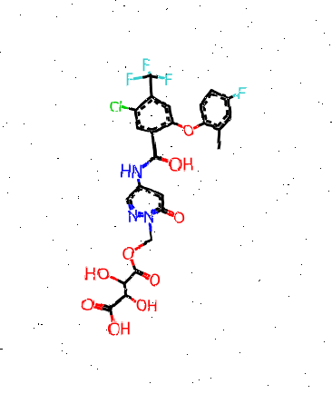 Cc1cc(F)ccc1Oc1cc(C(F)(F)F)c(Cl)cc1C(O)Nc1cnn(COC(=O)C(O)C(O)C(=O)O)c(=O)c1